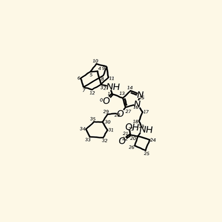 O=C(NC12CC3CC(CC(C3)C1)C2)c1cnn(CCNC2(C(=O)O)CCC2)c1OCC1CCCCC1